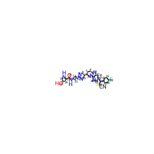 CCc1nc2ccc(-c3cnc(N4CC(NC(=O)[C@H]5CC(O)CN5)C4)nc3)cn2c1N(C)c1nc(-c2ccc(F)cc2)c(C#N)s1